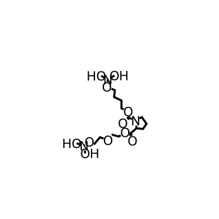 O=C(OCCOCCON(O)O)C1CCCN1C(=O)OCCCCON(O)O